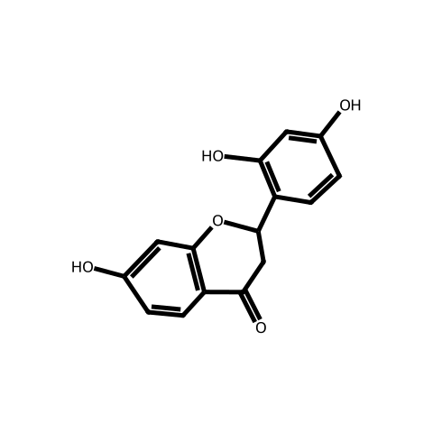 O=C1CC(c2ccc(O)cc2O)Oc2cc(O)ccc21